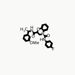 COc1cccc([C@@H](C)NC(=O)C2CN(C(=O)Nc3ccc(F)cc3)c3ccccc3O2)c1